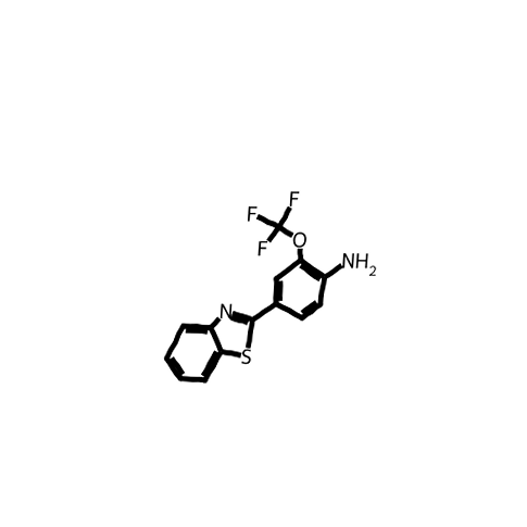 Nc1ccc(-c2nc3ccccc3s2)cc1OC(F)(F)F